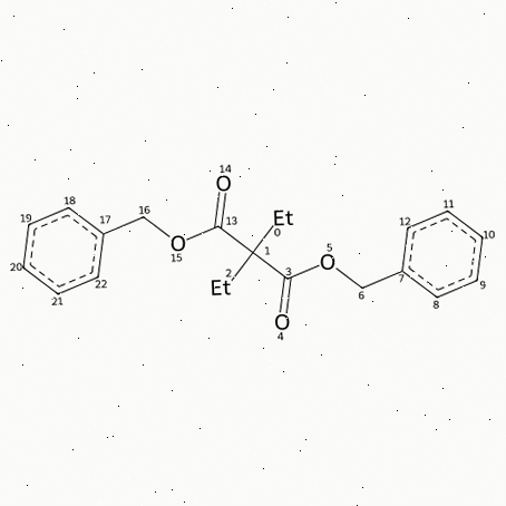 CCC(CC)(C(=O)OCc1ccccc1)C(=O)OCc1ccccc1